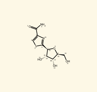 NC(=O)c1csc([C@H]2O[C@@H](CO)[C@H](O)[C@@H]2O)n1